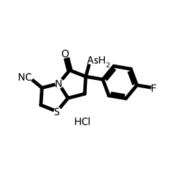 Cl.N#CC1CSC2CC([AsH2])(c3ccc(F)cc3)C(=O)N12